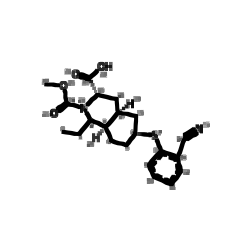 CCC1[C@@H]2CC[C@H](Sc3ccccc3C#N)C[C@@H]2C[C@@H](C(=O)O)N1C(=O)OC